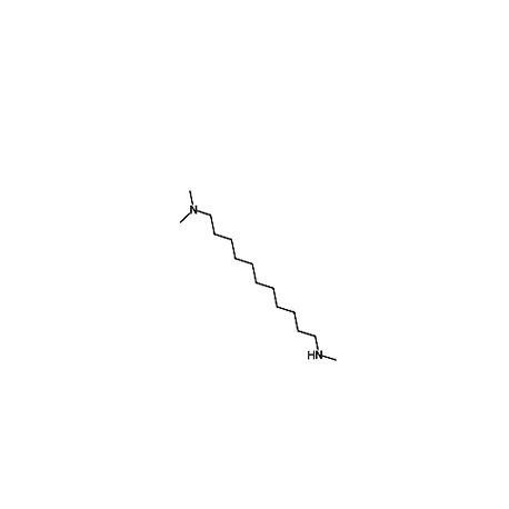 CNCCCCCCCCCCCN(C)C